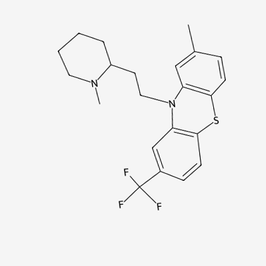 Cc1ccc2c(c1)N(CCC1CCCCN1C)c1cc(C(F)(F)F)ccc1S2